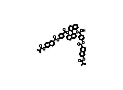 C=C(C)C(=O)Oc1ccc2cc(C(=O)Oc3ccc(C(=O)Oc4ccc5ccccc5c4-c4c(OC(O)c5ccc(OC(=O)c6ccc7cc(OC(=O)C(=C)C)ccc7c6)cc5)ccc5ccccc45)cc3)ccc2c1